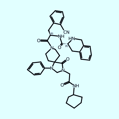 N#Cc1ccccc1C[C@@H](NC(=O)[C@H]1Cc2ccccc2CN1)C(=O)N1CCC2(CC1)C(=O)N(CC(=O)NC1CCCCC1)CN2c1ccccc1